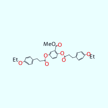 CCOc1ccc(CCC(=O)Oc2ccc(OC(=O)CCc3ccc(OCC)cc3)c(C(=O)OC)c2)cc1